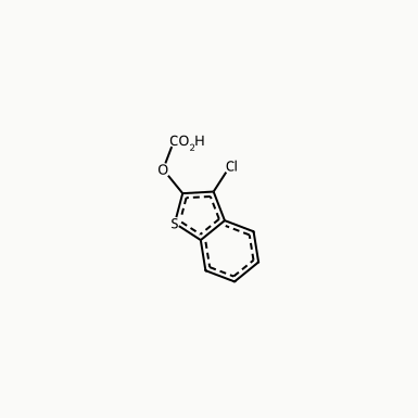 O=C(O)Oc1sc2ccccc2c1Cl